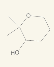 CC1(C)OCCCC1O